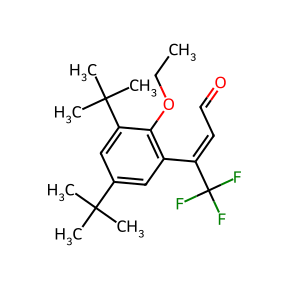 CCOc1c(/C(=C\C=O)C(F)(F)F)cc(C(C)(C)C)cc1C(C)(C)C